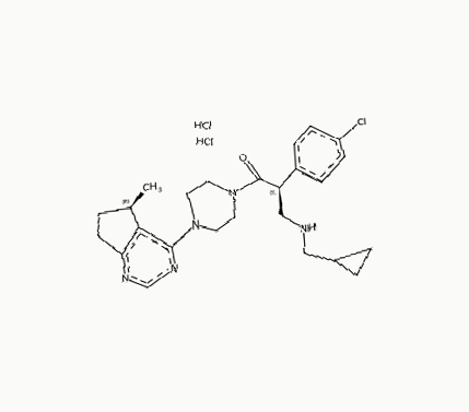 C[C@@H]1CCc2ncnc(N3CCN(C(=O)[C@H](CNCC4CC4)c4ccc(Cl)cc4)CC3)c21.Cl.Cl